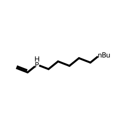 C=CPCCCCCCCCC